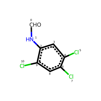 O=CNc1cc(Cl)c(Cl)cc1Cl